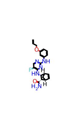 C=CCOc1cccc(Nc2ncc(F)c(N[C@H]3[C@@H](C(N)=O)[C@@H]4C=C[C@H]3C4)n2)c1